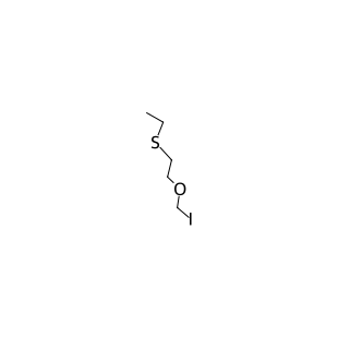 CCSCCOCI